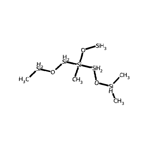 C[SiH2]O[SiH2][Si](C)(O[SiH3])[SiH2]O[SiH](C)C